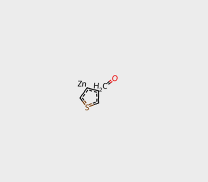 C=O.[Zn].c1ccsc1